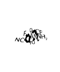 CN1C(=O)N(c2cc(F)c(C#N)cc2F)C(=O)CC1(N)C(F)(F)F